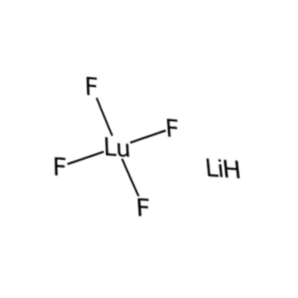 [F][Lu]([F])([F])[F].[LiH]